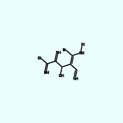 CCN/C(Br)=C(\C=N)C(O)C(=N)C(=N)CC